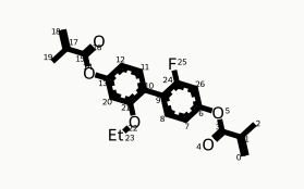 C=C(C)C(=O)Oc1ccc(-c2ccc(OC(=O)C(=C)C)cc2OCC)c(F)c1